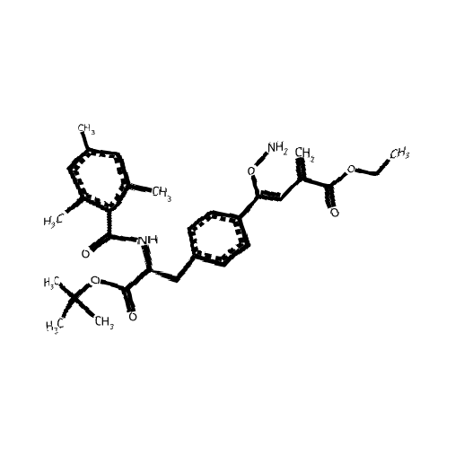 C=C(/C=C(\ON)c1ccc(C[C@H](NC(=O)c2c(C)cc(C)cc2C)C(=O)OC(C)(C)C)cc1)C(=O)OCC